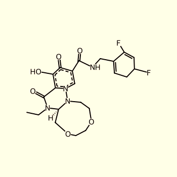 CCN1C(=O)c2c(O)c(=O)c(C(=O)NCC3=CCC(F)C=C3F)cn2N2CCOCCOC[C@@H]12